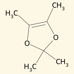 CC1=C(C)OC(C)(C)O1